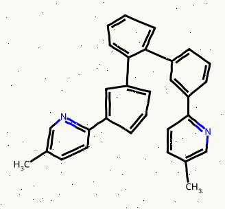 Cc1ccc(-c2cccc(-c3ccccc3-c3cccc(-c4ccc(C)cn4)c3)c2)nc1